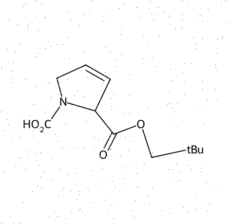 CC(C)(C)COC(=O)C1C=CCN1C(=O)O